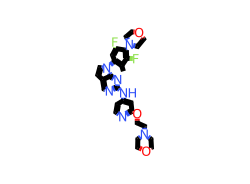 Cc1c(-n2ccc3cnc(Nc4ccnc(OCCN5CCOCC5)c4)nc32)cc(F)c(N2CCOCC2)c1F